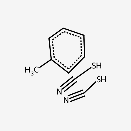 Cc1ccccc1.N#CS.N#CS